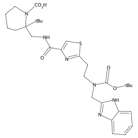 CC(C)(C)OC(=O)N(CCc1nc(C(=O)NCC2(C(C)(C)C)CCCCN2C(=O)O)cs1)Cc1nc2ccccc2[nH]1